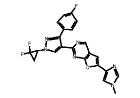 Cn1cnc(-c2cc3cnc(-c4cn([C@H]5CC5(F)F)nc4-c4ccc(F)cc4)nc3o2)c1